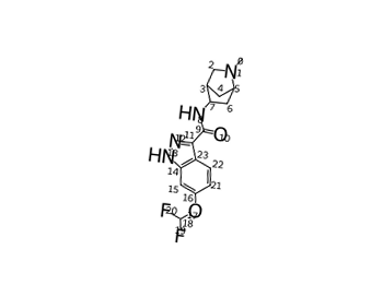 CN1CC2CC1CC2NC(=O)c1n[nH]c2cc(OC(F)F)ccc12